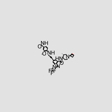 CNC(=O)c1ccc(NCC#Cc2cc(C(=O)N[C@@H]3CCN(C45CC(C4)C5)C[C@H]3C)c3ncn(CC(F)(F)F)c3c2)c(OC)c1